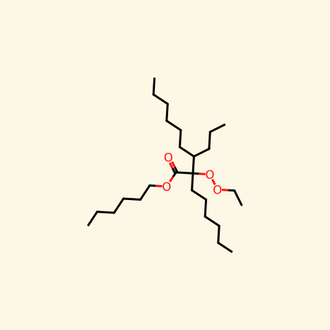 CCCCCCOC(=O)C(CCCCCC)(OOCC)C(CCC)CCCCCC